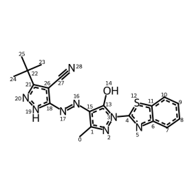 Cc1nn(-c2nc3ccccc3s2)c(O)c1/N=N/c1[nH]nc(C(C)(C)C)c1C#N